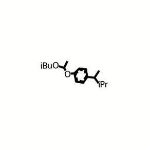 CC(C)COC(C)Oc1ccc(C(C)C(C)C)cc1